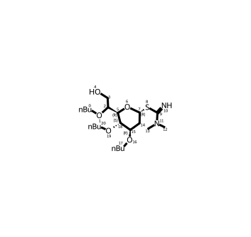 CCCCOC(CO)[C@H]1O[C@H](SC(=N)N(C)C)C[C@@H](OCCCC)[C@@H]1OCCCC